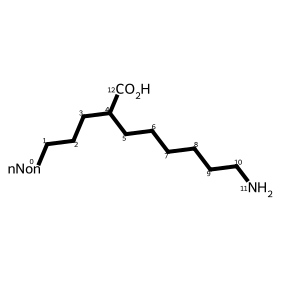 CCCCCCCCCCCCC(CCCCCCN)C(=O)O